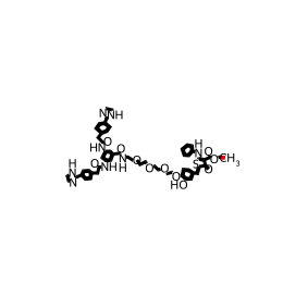 CCOC(=O)C1=C(Nc2ccccc2)S/C(=C\c2ccc(OCCOCCOCCOCCNC(=O)c3cc(NC(=O)Cc4ccc(C5=NCCN5)cc4)cc(NC(=O)Cc4ccc(C5=NCCN5)cc4)c3)c(O)c2)C1=O